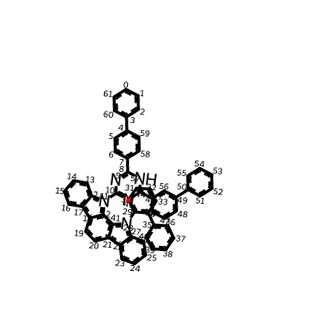 c1ccc(-c2ccc(C3=NC(n4c5ccccc5c5ccc6c7ccccc7n(-c7ccccc7-c7ccccc7)c6c54)=NC(c4cccc(-c5ccccc5)c4)N3)cc2)cc1